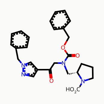 O=C(CN(C[C@@H]1CCCN1C(=O)O)C(=O)OCc1ccccc1)c1cnn(Cc2ccccc2)c1